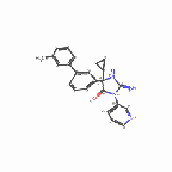 Cc1cccc(-c2cccc(C3(C4CC4)NC(=N)N(c4cccnc4)C3=O)c2)c1